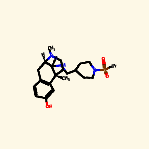 CC(C)S(=O)(=O)N1CCC(CN[C@H]2[C@H]3Cc4ccc(O)cc4[C@@]2(C)CCN3C)CC1